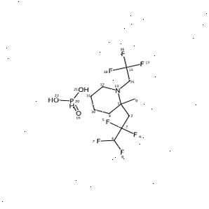 CC1(CC(F)(F)C(F)F)CCCCN1CC(F)(F)F.O=[PH](O)O